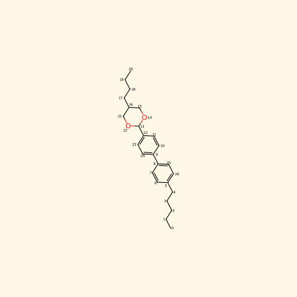 CCCCCc1ccc(-c2ccc(C3OCC(CCCC)CO3)cc2)cc1